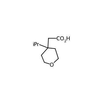 CC(C)C1(CC(=O)O)CCOCC1